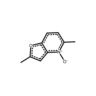 Cc1cc2c(ccc(C)[n+]2[O-])o1